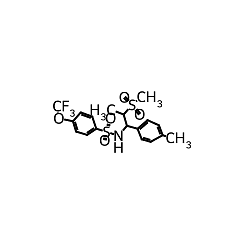 Cc1ccc(C(NS(=O)(=O)c2ccc(OC(F)(F)F)cc2)C(C)S(C)(=O)=O)cc1